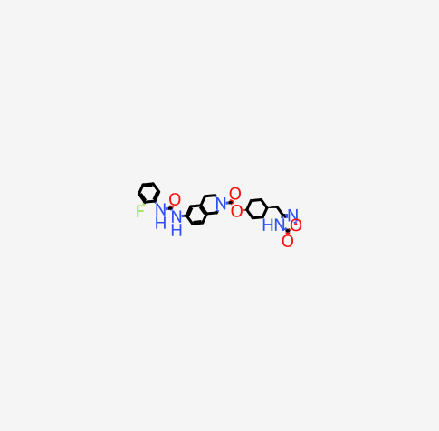 O=C(Nc1ccc2c(c1)CCN(C(=O)O[C@H]1CC[C@H](Cc3noc(=O)[nH]3)CC1)C2)Nc1ccccc1F